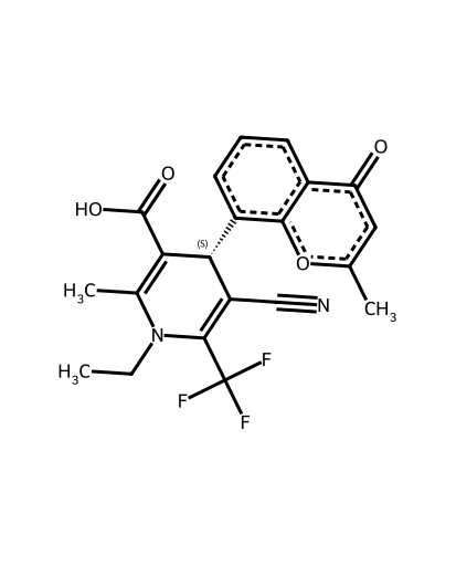 CCN1C(C)=C(C(=O)O)[C@H](c2cccc3c(=O)cc(C)oc23)C(C#N)=C1C(F)(F)F